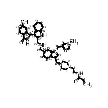 C=CC(=O)NCCN1CCN(Cc2cn(Cc3cn(C)cn3)c3cc(CNCc4[nH]c5ccccc5c4C4NC(=O)c5ccc(O)cc54)ccc23)CC1